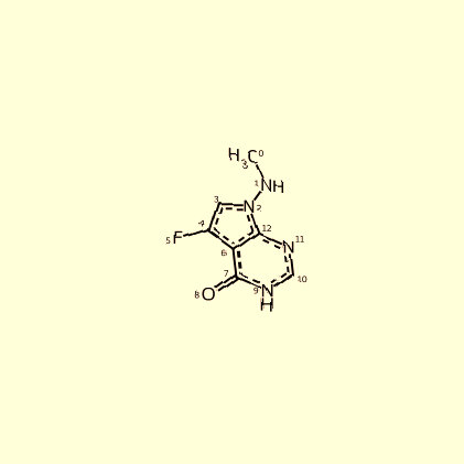 CNn1cc(F)c2c(=O)[nH]cnc21